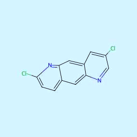 Clc1cnc2cc3ccc(Cl)nc3cc2c1